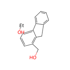 CCO.OCc1cccc2c1Cc1ccccc1-2